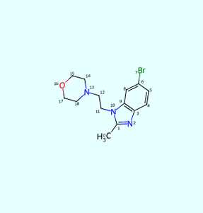 Cc1nc2ccc(Br)cc2n1CCN1CCOCC1